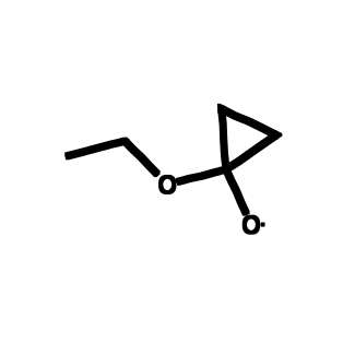 CCOC1([O])CC1